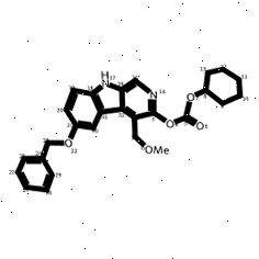 COCc1c(OC(=O)OC2CCCCC2)ncc2[nH]c3ccc(OCc4ccccc4)cc3c12